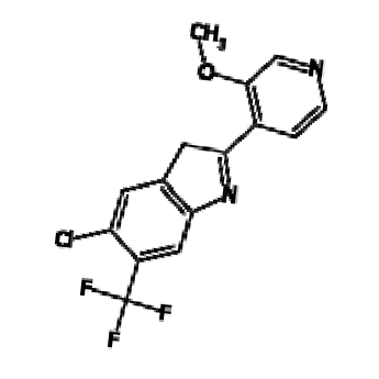 COc1cnccc1C1=Nc2cc(C(F)(F)F)c(Cl)cc2C1